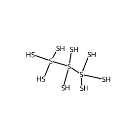 SS(S)(S)S(S)(S)S(S)(S)S